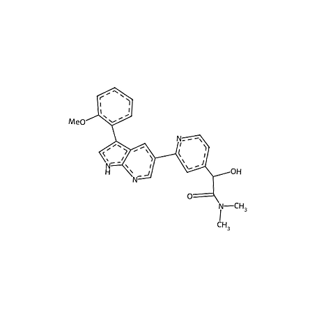 COc1ccccc1-c1c[nH]c2ncc(-c3cc(C(O)C(=O)N(C)C)ccn3)cc12